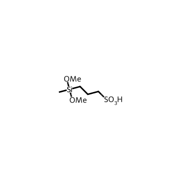 CO[Si](C)(CCCS(=O)(=O)O)OC